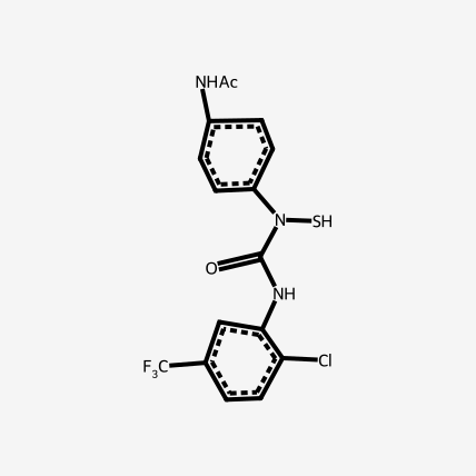 CC(=O)Nc1ccc(N(S)C(=O)Nc2cc(C(F)(F)F)ccc2Cl)cc1